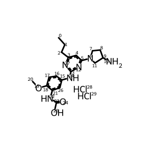 CCCc1cc(N2CCC(N)C2)nc(Nc2ccc(OC)c(NC(=O)O)c2)n1.Cl.Cl